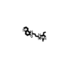 CCc1cnc(C)n2nc(CCc3nc4c5cccnc5ccc4n3C)nc12